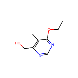 CCOc1ncnc(CO)c1C